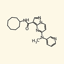 CN(c1cccnc1)c1ccn2ncc(C(=O)NC3CCCCCCC3)c2n1